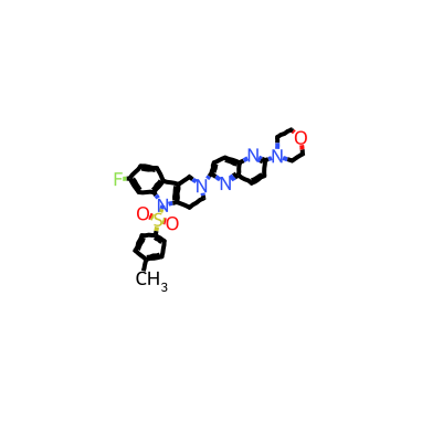 Cc1ccc(S(=O)(=O)n2c3c(c4ccc(F)cc42)CN(c2ccc4nc(N5CCOCC5)ccc4n2)CC3)cc1